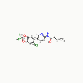 O=C(CCC(F)(F)F)Nc1ccc(-c2cc3c(cc2Cl)OC(F)(F)O3)cn1